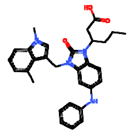 CCCC(CC(=O)O)n1c(=O)n(Cc2cn(C)c3cccc(C)c23)c2cc(Nc3ccccc3)ccc21